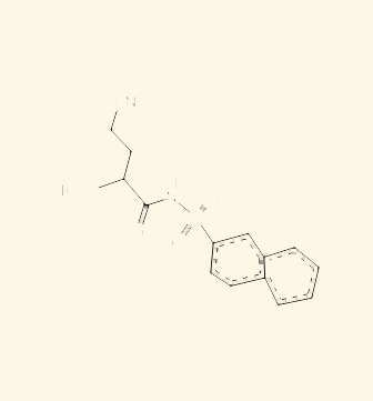 N#CCCC(C(=O)O)C(=O)NS(=O)(=O)c1ccc2ccccc2c1